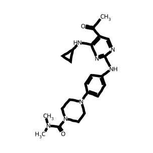 CC(=O)c1cnc(Nc2ccc(N3CCN(C(=O)N(C)C)CC3)cc2)nc1NC1CC1